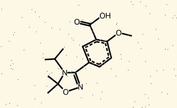 COc1ccc(C2=NOC(C)(C)N2C(C)C)cc1C(=O)O